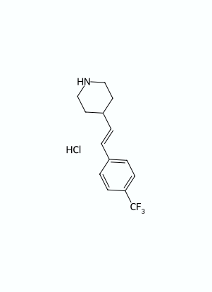 Cl.FC(F)(F)c1ccc(/C=C/C2CCNCC2)cc1